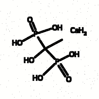 CC(O)(P(=O)(O)O)P(=O)(O)O.[CaH2]